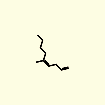 C=CCC=C(C)CCCC